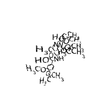 CCOc1cc(C(Nc2ccc3c(N(C(=O)OC(C)(C)C)C(=O)OC(C)(C)C)ncc(C)c3c2)C(=O)O)ccc1OC(C)C